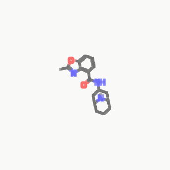 Cc1nc2c(C(=O)NC3CC4CCCC(C3)N4C)cccc2o1